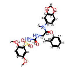 COc1ccc(OC)c(S(=O)(=O)NC(=O)N[C@@H](Cc2ccccc2)C(=O)N(C)c2ccc3c(c2)OCO3)c1